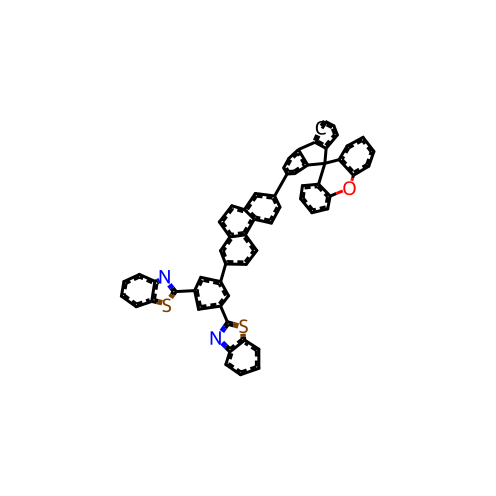 c1ccc2c(c1)Oc1ccccc1C21c2ccccc2-c2ccc(-c3ccc4c(ccc5cc(-c6cc(-c7nc8ccccc8s7)cc(-c7nc8ccccc8s7)c6)ccc54)c3)cc21